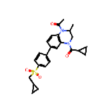 CC(=O)N1c2ccc(-c3ccc(S(=O)(=O)CC4CC4)cc3)cc2N(C(=O)C2CC2)CC1C